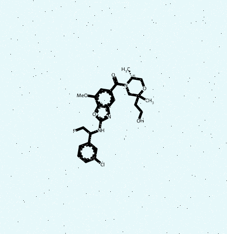 COc1cc(C(=O)N2CC(C)(CCO)OC[C@H]2C)cc2nc(NC(CF)c3cccc(Cl)c3)oc12